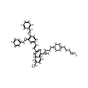 NCCCN1CCN(CCCNc2nc(C=Cc3ccc(OCc4ccccc4)c(OCc4ccccc4)c3)nc3cc(Cl)ccc23)CC1